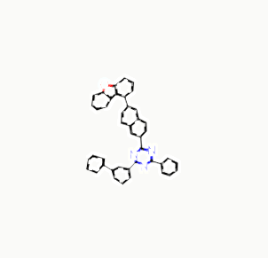 c1ccc(-c2cccc(-c3nc(-c4ccccc4)nc(-c4ccc5cc(-c6cccc7oc8ccccc8c67)ccc5c4)n3)c2)cc1